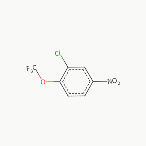 O=[N+]([O-])c1ccc(OC(F)(F)F)c(Cl)c1